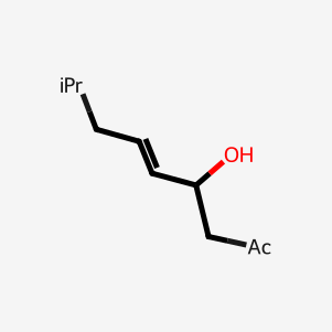 CC(=O)CC(O)C=CCC(C)C